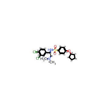 CN(C)C[C@H](NS(=O)(=O)c1ccc(OC2CCCC2)cc1)c1ccc(Cl)c(Cl)c1